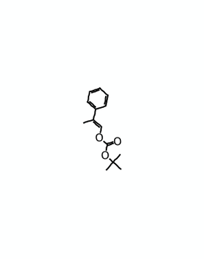 CC(=COC(=O)OC(C)(C)C)c1ccccc1